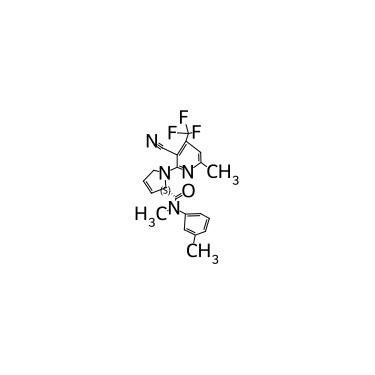 Cc1cccc(N(C)C(=O)[C@@H]2C=CCN2c2nc(C)cc(C(F)(F)F)c2C#N)c1